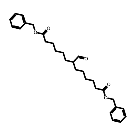 O=CC(CCCCCC(=O)OCc1ccccc1)CCCCCC(=O)OCc1ccccc1